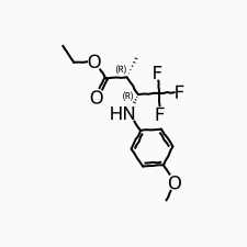 CCOC(=O)[C@H](C)[C@@H](Nc1ccc(OC)cc1)C(F)(F)F